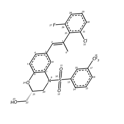 CC(=Cc1ccc2c(c1)N(S(=O)(=O)c1cccc(C(F)(F)F)c1)C[C@H](CO)O2)c1c(F)cccc1Cl